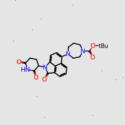 CC(C)(C)OC(=O)N1CCCN(c2ccc3c4c(cccc24)C(=O)N3C2CCC(=O)NC2=O)CC1